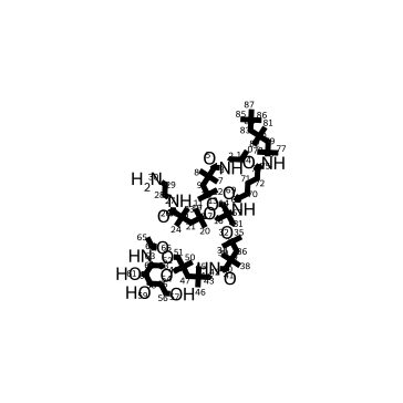 CCCNC(=O)C(C)(C)CC(C)(C)OCC(COC(C)(C)CC(C)(C)C(=O)NCCN)(COC(C)(C)CC(C)(C)C(=O)NCC(C)(C)CC(C)(C)COC1OC(CO)C(O)C(O)C1NC(C)=O)NC(=O)CCCC(=O)NC(C)(C)CC(C)(C)CC(C)(C)C